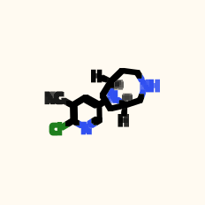 N#Cc1cc(N2[C@H]3CCNC[C@@H]2CC3)cnc1Cl